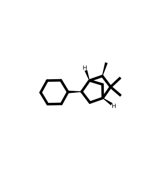 C[C@@H]1[C@@H]2C[C@@H](C[C@H]2C2CCCCC2)C1(C)C